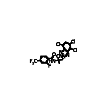 CC(C#N)(Cn1nc2c(Cl)cc(Cl)c(Cl)c2n1)NC(=O)c1ccc(C(F)(F)F)cc1F